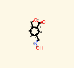 O=C1OCc2ccc(/C=N/O)cc21